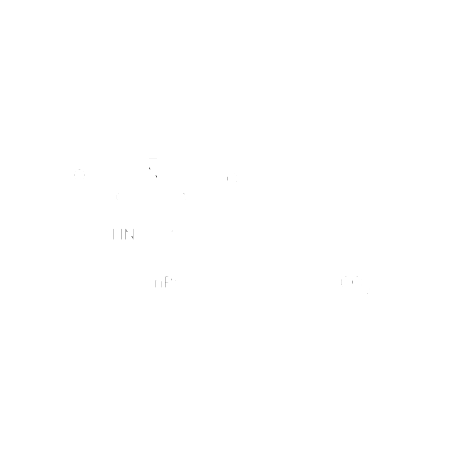 CCCC1(c2ccc(C(=O)O)cc2)NC(=O)NC1=O